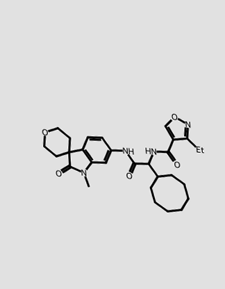 CCc1nocc1C(=O)NC(C(=O)Nc1ccc2c(c1)N(C)C(=O)C21CCOCC1)C1CCCCCCC1